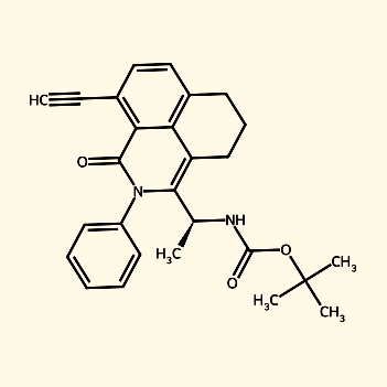 C#Cc1ccc2c3c(c([C@H](C)NC(=O)OC(C)(C)C)n(-c4ccccc4)c(=O)c13)CCC2